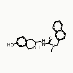 CN(Cc1ccc2ccccc2c1)C(=O)NCC1Cc2ccc(O)cc2CN1